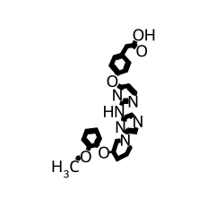 CCOc1ccccc1O[C@@H]1CCCN(c2cncc(Nc3nccc(Oc4ccc(CC(=O)O)cc4)n3)n2)C1